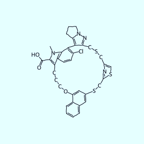 Cn1c(C(=O)O)c2c3ccc(Cl)c(c31)-c1c(nn3c1CCC3)CSCc1csc(n1)CSc1cc(c3ccccc3c1)OCCC2